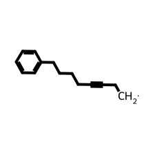 [CH2]CC#CCCCCc1ccccc1